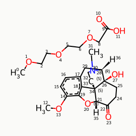 COCCOCCOCC(=O)O.COc1ccc2c3c1O[C@H]1C(=O)CC[C@@]4(O)[C@@H](C2)N(C)CC[C@]314